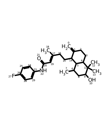 C=C1CCC2C(C(C)CC(O)C2(C)C)C1CCC(C)=CC(=O)Nc1ccc(F)cc1